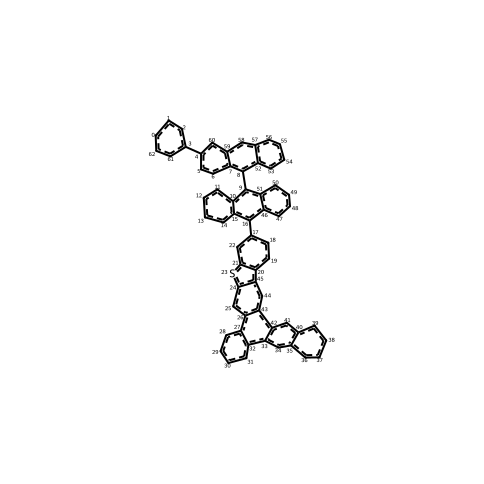 c1ccc(-c2ccc3c(-c4c5ccccc5c(-c5ccc6c(c5)sc5cc7c8ccccc8c8cc9ccccc9cc8c7cc56)c5ccccc45)c4ccccc4cc3c2)cc1